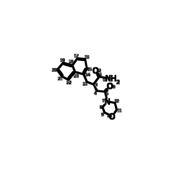 NC(=O)[C@@H](CC(=O)N1CCOCC1)Cc1cccc2ccccc12